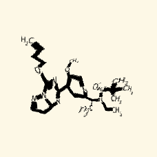 C=CCCOc1nc(-c2cc([C@@H](C)N(CC)[S+]([O-])C(C)(C)C)ncc2OC)nc2ccnn12